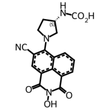 N#Cc1cc2c3c(cccc3c1N1CC[C@H](NC(=O)O)C1)C(=O)N(O)C2=O